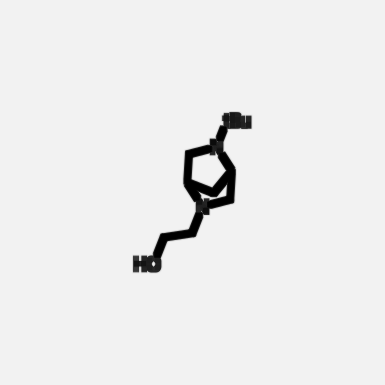 CC(C)(C)N1CC2CC1CN2CCO